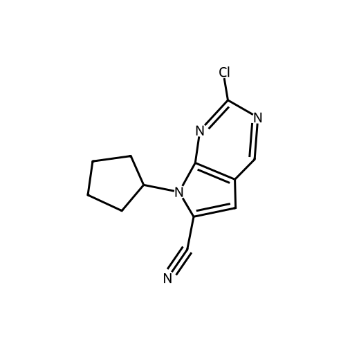 N#Cc1cc2cnc(Cl)nc2n1C1CCCC1